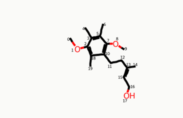 COc1c(C)c(C)c(OC)c(CCC(C)=CCO)c1C